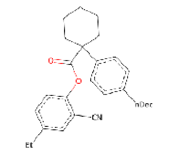 CCCCCCCCCCc1ccc(C2(C(=O)Oc3ccc(CC)cc3C#N)CCCCC2)cc1